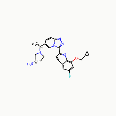 C[C@@H](c1ccc2nnc(-c3ccc4cc(F)cc(OCC5CC5)c4n3)n2c1)N1CC[C@H](N)C1